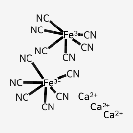 N#[C][Fe-3]([C]#N)([C]#N)([C]#N)([C]#N)[C]#N.N#[C][Fe-3]([C]#N)([C]#N)([C]#N)([C]#N)[C]#N.[Ca+2].[Ca+2].[Ca+2]